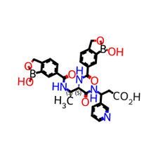 C[C@H](NC(=O)c1ccc2c(c1)B(O)OC2)[C@H](NC(=O)c1ccc2c(c1)B(O)OC2)C(=O)NC(CC(=O)O)c1cccnc1